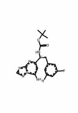 CC(C)(C)OC(=O)N[C@@H](Cc1cc(F)cc(F)c1)c1cc(N)n2ncnc2n1